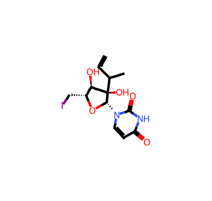 C=CC(C)[C@@]1(O)[C@H](O)[C@@H](CI)O[C@H]1n1ccc(=O)[nH]c1=O